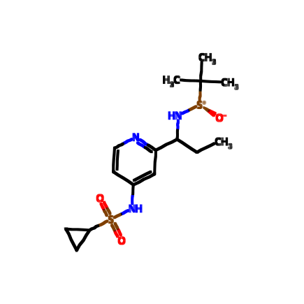 CCC(N[S@+]([O-])C(C)(C)C)c1cc(NS(=O)(=O)C2CC2)ccn1